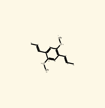 C/C=C/c1cc(OCCC)c(/C=C/C)cc1OCCC